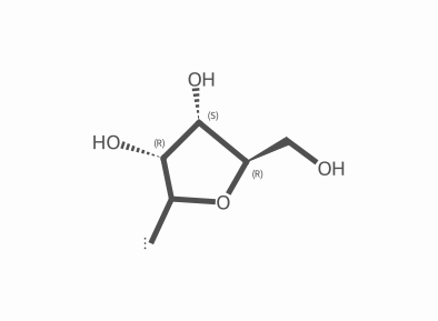 [C]C1O[C@H](CO)[C@@H](O)[C@H]1O